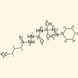 CCCCC(=S)NNC(=O)NC(C)(C)/N=N/C1CCCCC1